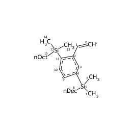 [CH]=Cc1cc([Si](C)(C)CCCCCCCCCC)[c]cc1[Si](C)(C)CCCCCCCC